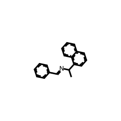 CC(/N=C/c1ccccc1)c1cccc2ccccc12